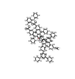 [C-]#[N+]c1ccc(-n2c3ccc(-c4cc5c6c(c4)N(c4ccccc4)c4ccc(C(=O)OCc7ccccc7)cc4B6c4cc(C(=O)OCc6ccccc6)ccc4N5c4ccccc4)cc3c3ccc(-c4nc(-c5ccccc5)nc(-c5ccccc5)n4)cc32)c(-c2nc(-c3ccccc3)nc(-c3ccccc3)n2)c1